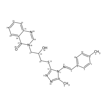 Cc1ccc(C=Nn2c(C)nnc2SCC(O)Cn2cnc3ccccc3c2=O)cc1